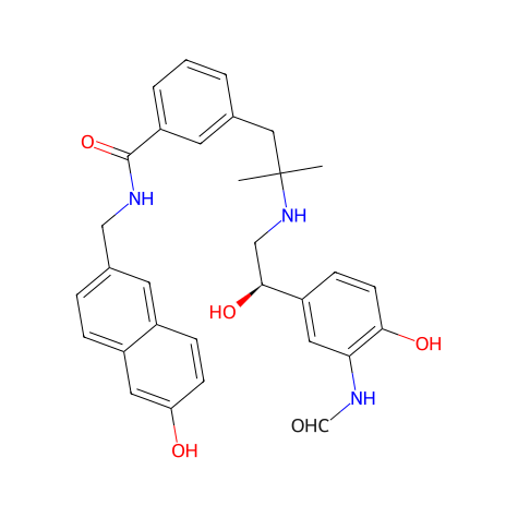 CC(C)(Cc1cccc(C(=O)NCc2ccc3cc(O)ccc3c2)c1)NC[C@H](O)c1ccc(O)c(NC=O)c1